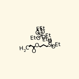 C=CC(=O)OCCC[SiH](OCC)OCC.CCO[Si](OCC)(OCC)OCC